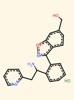 Cl.NC(Cc1ccccn1)c1ccccc1-c1noc2cc(CO)ccc12